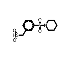 O=[SH](=O)Cc1cccc(S(=O)(=O)N2CCCCC2)c1